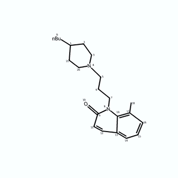 CCCCC1CCN(CCCn2c(=O)ccc3cccc(C)c32)CC1